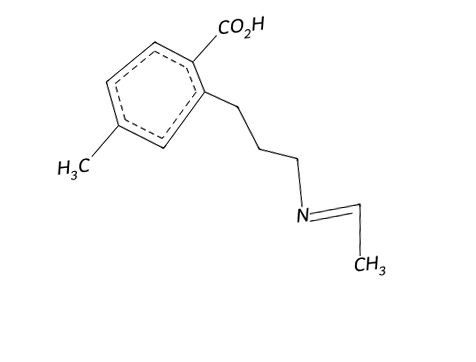 CC=NCCCc1cc(C)ccc1C(=O)O